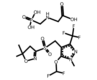 Cn1nc(C(F)(F)F)c(CS(=O)(=O)C2=NOC(C)(C)C2)c1OC(F)F.O=C(O)CNCP(=O)(O)O